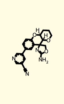 N#Cc1cncc(-c2ccc3c(c2)C2(COC(N)=N2)[C@H]2OCCC[C@@H]2O3)c1